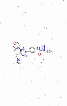 CC(=O)N1CCc2c(nc(-c3ccc(NC(=O)NCC(F)(F)F)cc3)nc2N2CCOCC2C)C1